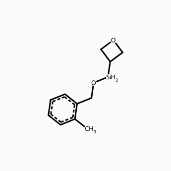 Cc1ccccc1CO[SiH2]C1COC1